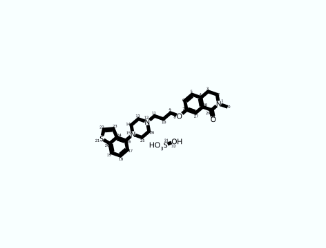 CN1CCc2ccc(OCCCN3CCN(c4cccc5sccc45)CC3)cc2C1=O.O=S(=O)(O)O